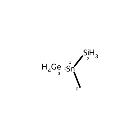 [CH3][Sn][SiH3].[GeH4]